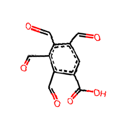 O=Cc1cc(C(=O)O)c(C=O)c(C=O)c1C=O